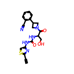 C#Cc1nc(NC(=O)NC(CO)C(=O)N2CC(c3ccccc3C#N)C2)cs1